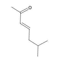 CC(=O)C=CCC(C)C